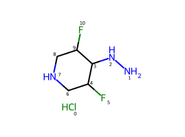 Cl.NNC1C(F)CNCC1F